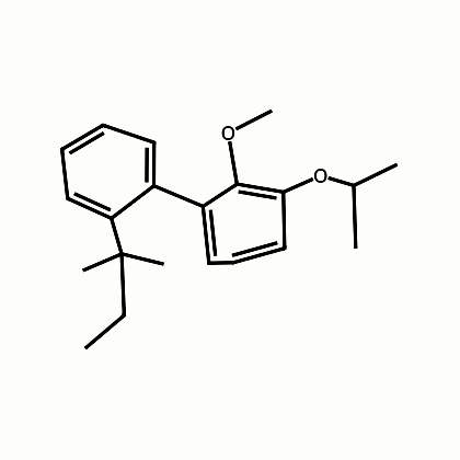 CCC(C)(C)c1ccccc1-c1cccc(OC(C)C)c1OC